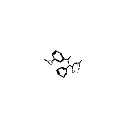 CNCC(O)C(c1ccccc1)N(C)c1cccc(OC)c1